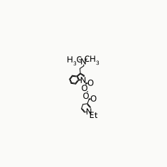 CCN1C=CCC(C(=O)OCOC(=O)n2cc(CCN(C)C)c3ccccc32)=C1